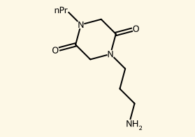 CCCN1CC(=O)N(CCCN)CC1=O